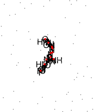 O=C1CCN(c2ccc(CN3CCC(N4CCN(c5ncc(C(=O)Nc6ccc(OC(F)(F)Cl)cc6)cc5-c5cc[nH]n5)CC4)CC3)nn2)C(=O)N1